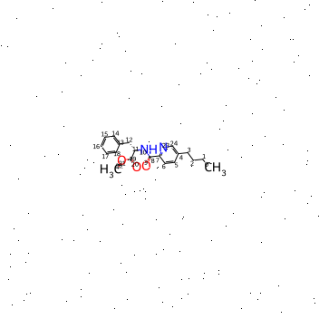 CCCCc1ccc(C(=O)N[C@@H](Cc2ccccc2)C(=O)OC)nc1